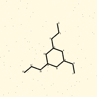 CCCC1CC(CC)CC(CCC)C1